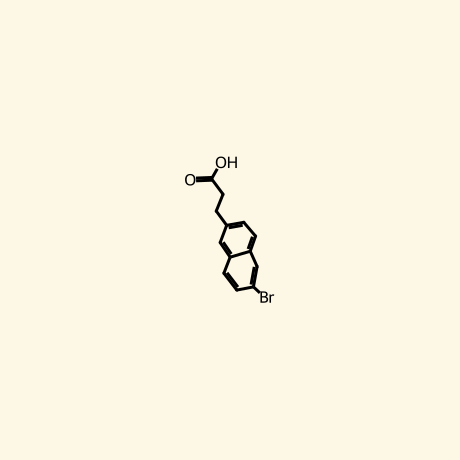 O=C(O)CCc1ccc2cc(Br)ccc2c1